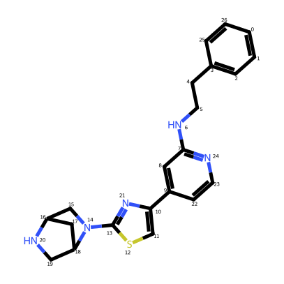 c1ccc(CCNc2cc(-c3csc(N4CC5CC4CN5)n3)ccn2)cc1